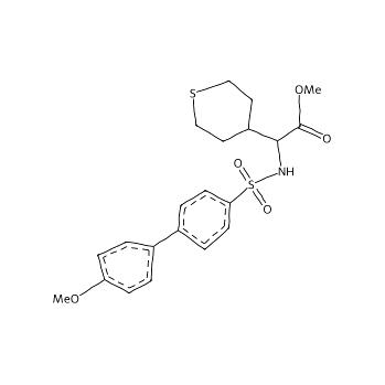 COC(=O)C(NS(=O)(=O)c1ccc(-c2ccc(OC)cc2)cc1)C1CCSCC1